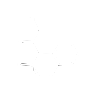 CC(C)(C)OC(=O)N(c1ccccc1Br)[SH](=O)=O